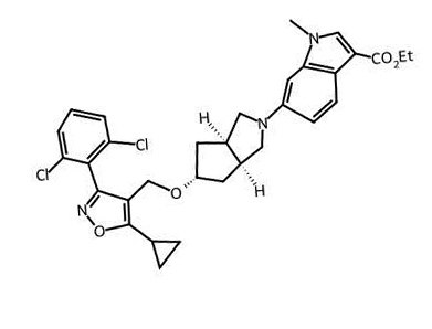 CCOC(=O)c1cn(C)c2cc(N3C[C@H]4C[C@H](OCc5c(-c6c(Cl)cccc6Cl)noc5C5CC5)C[C@H]4C3)ccc12